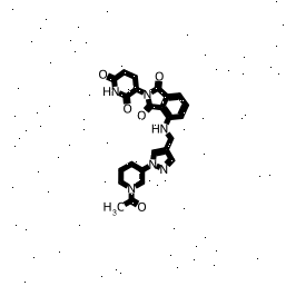 CC(=O)N1CCCC(n2cc(CNc3cccc4c3C(=O)N(C3CCC(=O)NC3=O)C4=O)cn2)C1